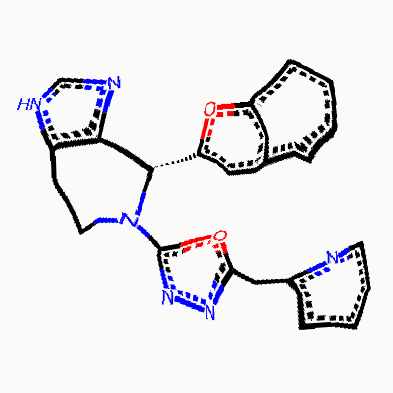 c1ccc(-c2nnc(N3CCc4[nH]cnc4[C@@H]3c3cc4ccccc4o3)o2)nc1